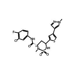 CN1[C@H](C(=O)Nc2ccc(F)c(Cl)c2)CC(c2cc(-c3cnn(C)c3)cs2)NS1(=O)=O